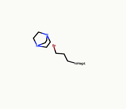 C1CN2CCN1CC2.CCCCCCCCCCBr